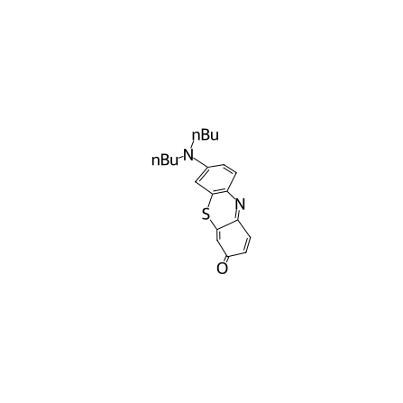 CCCCN(CCCC)c1ccc2nc3ccc(=O)cc-3sc2c1